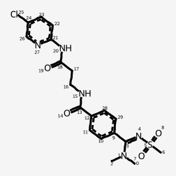 CN(C)C(=NS(C)(=O)=O)c1ccc(C(=O)NCCC(=O)Nc2ccc(Cl)cn2)cc1